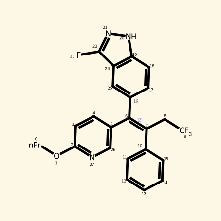 CCCOc1ccc(/C(=C(/CC(F)(F)F)c2ccccc2)c2ccc3[nH]nc(F)c3c2)cn1